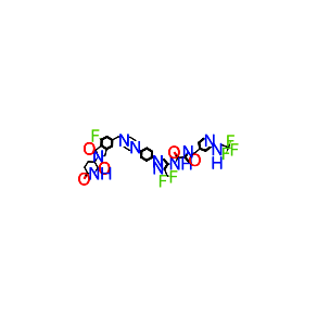 O=C1CCC(N2Cc3cc(CN4CCN(c5ccc(-n6cc(NC(=O)c7coc(-c8ccnc(NCC(F)(F)F)c8)n7)c(C(F)F)n6)cc5)CC4)cc(F)c3C2=O)C(=O)N1